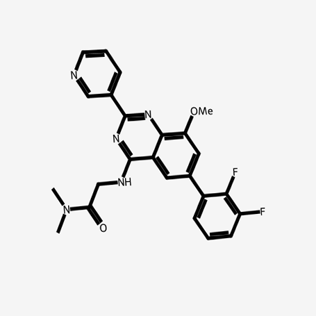 COc1cc(-c2cccc(F)c2F)cc2c(NCC(=O)N(C)C)nc(-c3cccnc3)nc12